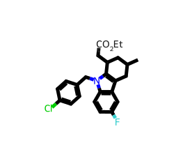 CCOC(=O)CC1CC(C)Cc2c1n(Cc1ccc(Cl)cc1)c1ccc(F)cc21